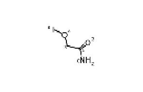 NC(=O)COI